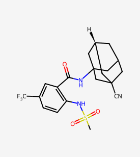 CS(=O)(=O)Nc1ccc(C(F)(F)F)cc1C(=O)NC12CC3C[C@H](CC(C#N)(C3)C1)C2